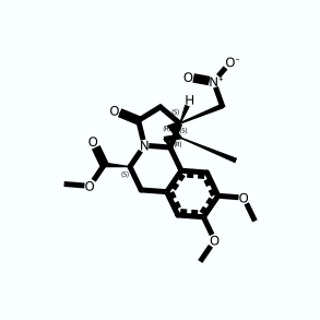 COC(=O)[C@@H]1Cc2cc(OC)c(OC)cc2[C@@]23C[C@H](C)[C@@H](C[N+](=O)[O-])[C@@H]2CC(=O)N13